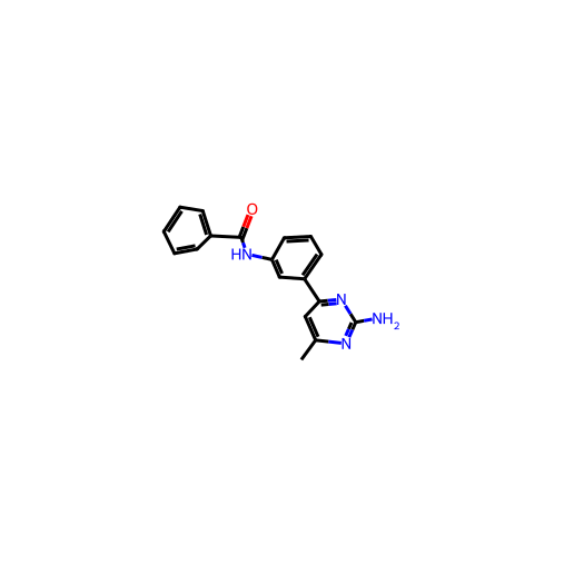 Cc1cc(-c2cccc(NC(=O)c3ccccc3)c2)nc(N)n1